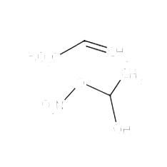 C=CC(=O)O.CC(O)O[N+](=O)[O-]